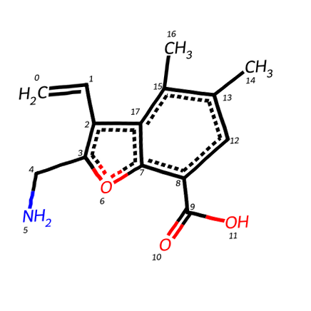 C=Cc1c(CN)oc2c(C(=O)O)cc(C)c(C)c12